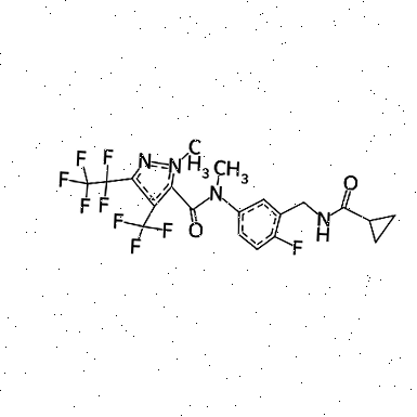 CN(C(=O)c1c(C(F)(F)F)c(C(F)(F)C(F)(F)F)nn1C)c1ccc(F)c(CNC(=O)C2CC2)c1